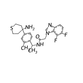 Cc1cc(C2(N)CCSCC2)ccc1C(C)NC(=O)Cn1cnc2ccc(F)c(F)c21